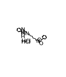 Cl.Cl.O=CN(CCCCCCNCc1nc2ccccc2[nH]1)OCc1ccccc1